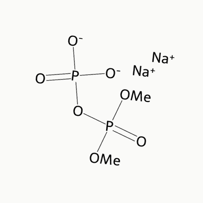 COP(=O)(OC)OP(=O)([O-])[O-].[Na+].[Na+]